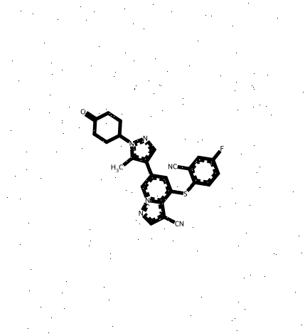 Cc1c(-c2cc(Sc3ccc(F)cc3C#N)c3c(C#N)cnn3c2)cnn1C1CCC(=O)CC1